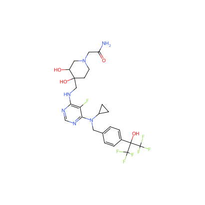 NC(=O)CN1CCC(O)(CNc2ncnc(N(Cc3ccc(C(O)(C(F)(F)F)C(F)(F)F)cc3)C3CC3)c2F)C(O)C1